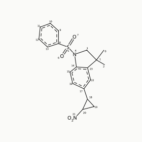 CC1(C)CN(S(=O)(=O)c2ccccc2)c2ccc(C3CC3[N+](=O)[O-])cc21